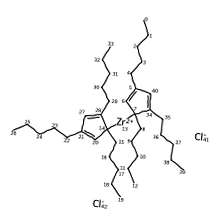 CCCCCC1=C[C](CCCCC)([Zr+2][C]2(CCCCC)C=C(CCCCC)C=C2CCCCC)C(CCCCC)=C1.[Cl-].[Cl-]